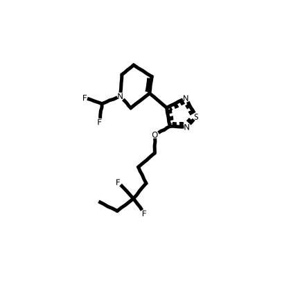 CCC(F)(F)CCCOc1nsnc1C1=CCCN(C(F)F)C1